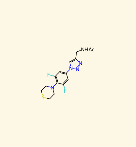 CC(=O)NCc1cn(-c2cc(F)c(N3CCSCC3)c(F)c2)nn1